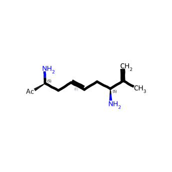 C=C(C)[C@@H](N)C/C=C/C[C@H](N)C(C)=O